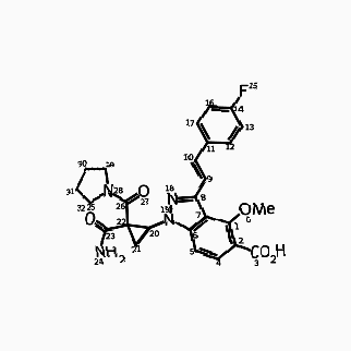 COc1c(C(=O)O)ccc2c1c(C=Cc1ccc(F)cc1)nn2C1CC1(C(N)=O)C(=O)N1CCCC1